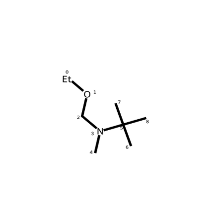 CCOCN(C)C(C)(C)C